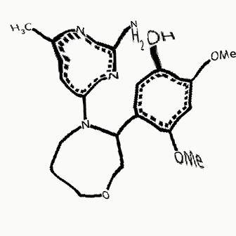 COc1cc(OC)c(C2COCCCN2c2cc(C)nc(N)n2)cc1O